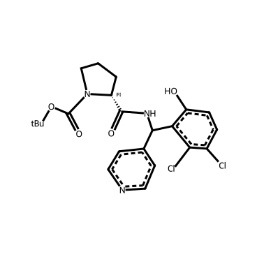 CC(C)(C)OC(=O)N1CCC[C@@H]1C(=O)NC(c1ccncc1)c1c(O)ccc(Cl)c1Cl